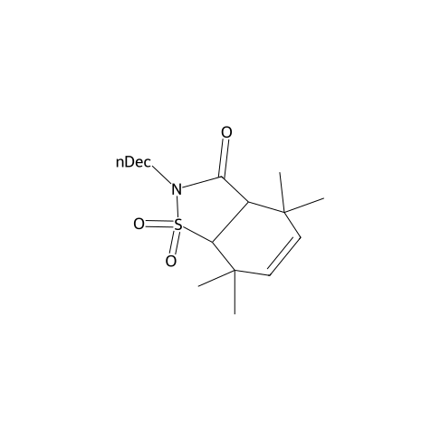 CCCCCCCCCCN1C(=O)C2C(C(C)(C)C=CC2(C)C)S1(=O)=O